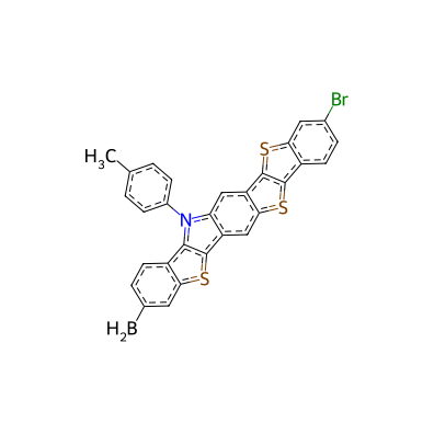 Bc1ccc2c(c1)sc1c3cc4sc5c6ccc(Br)cc6sc5c4cc3n(-c3ccc(C)cc3)c21